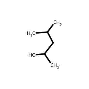 [CH2]C(O)C[C](C)C